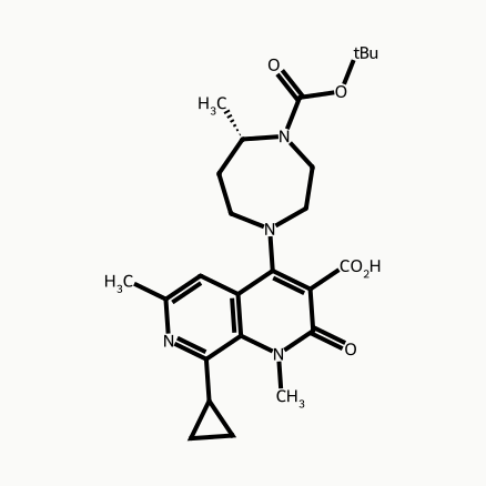 Cc1cc2c(N3CC[C@H](C)N(C(=O)OC(C)(C)C)CC3)c(C(=O)O)c(=O)n(C)c2c(C2CC2)n1